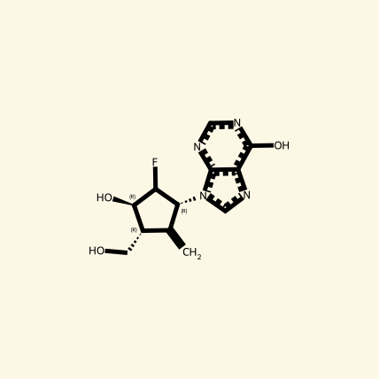 C=C1[C@@H](n2cnc3c(O)ncnc32)C(F)[C@H](O)[C@H]1CO